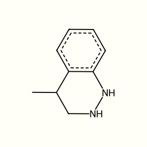 CC1CNNc2ccccc21